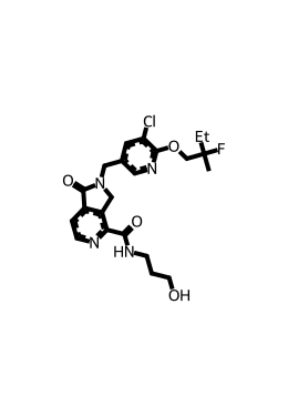 CCC(C)(F)COc1ncc(CN2Cc3c(ccnc3C(=O)NCCCO)C2=O)cc1Cl